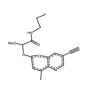 C#Cc1cnc2c(C)cc(OC(OC)C(=O)NCCF)cc2c1